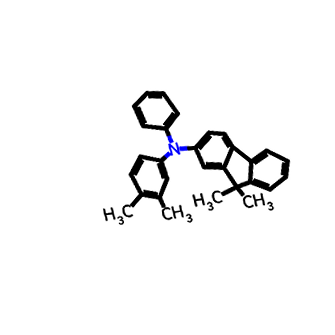 Cc1ccc(N(c2ccccc2)c2ccc3c(c2)C(C)(C)c2ccccc2-3)cc1C